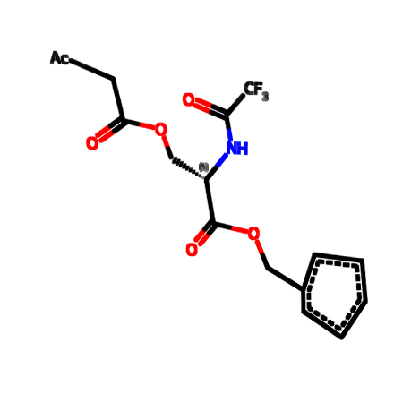 CC(=O)CC(=O)OC[C@H](NC(=O)C(F)(F)F)C(=O)OCc1ccccc1